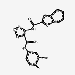 Cc1ccc(NC(=N)c2nonc2NC(=O)c2cc3ccccc3s2)cc1Br